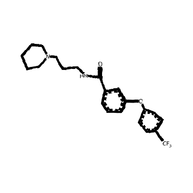 O=C(NCCCN1CCCCC1)c1cccc(Oc2ccc(C(F)(F)F)cc2)c1